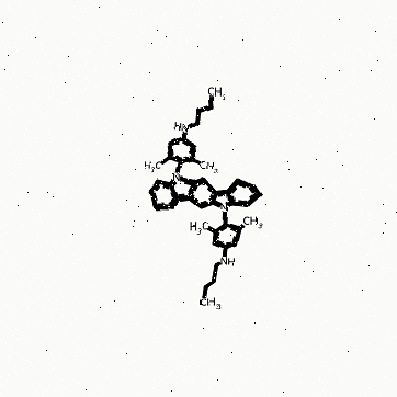 CCCCNc1cc(C)c(-n2c3ccccc3c3cc4c(cc32)c2ccccc2n4-c2c(C)cc(NCCCC)cc2C)c(C)c1